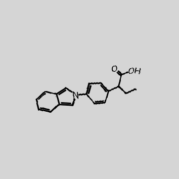 CCC(C(=O)O)c1ccc(-n2cc3ccccc3c2)cc1